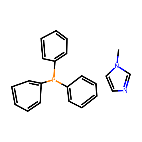 Cn1ccnc1.c1ccc(P(c2ccccc2)c2ccccc2)cc1